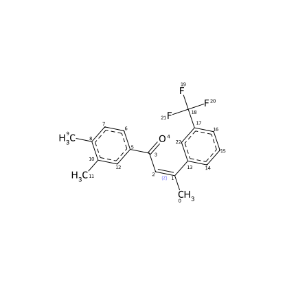 C/C(=C/C(=O)c1ccc(C)c(C)c1)c1cccc(C(F)(F)F)c1